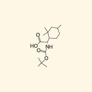 CC1CCC([C@H](NC(=O)OC(C)(C)C)C(=O)O)C(C)(C)C1